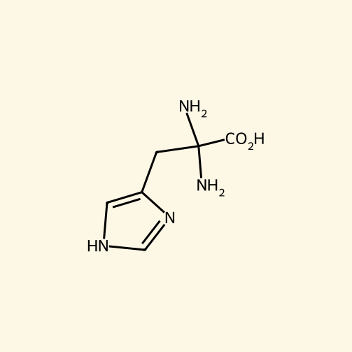 NC(N)(Cc1c[nH]cn1)C(=O)O